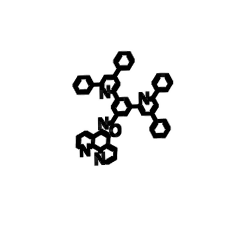 c1ccc(-c2cc(-c3ccccc3)nc(-c3cc(-c4cc(-c5ccccc5)cc(-c5ccccc5)n4)cc(-c4nc5c6cccnc6c6ncccc6c5o4)c3)c2)cc1